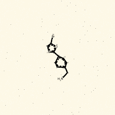 NCc1ccc(-c2ncc(Br)o2)cc1